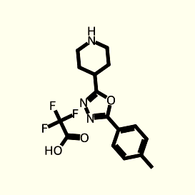 Cc1ccc(-c2nnc(C3CCNCC3)o2)cc1.O=C(O)C(F)(F)F